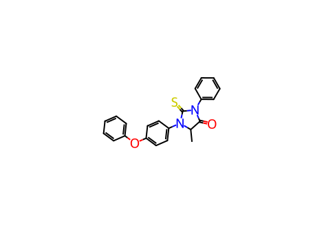 CC1C(=O)N(c2ccccc2)C(=S)N1c1ccc(Oc2ccccc2)cc1